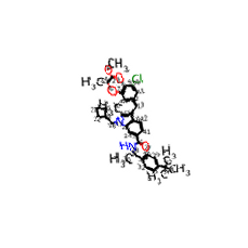 COC(=O)[C@@H](C)Oc1cc(Cl)cc(Cc2c(C)n(CC3CCC3)c3cc(C(=O)N[C@@H](C)c4ccc(C(C)(C)C)cc4)ccc23)c1